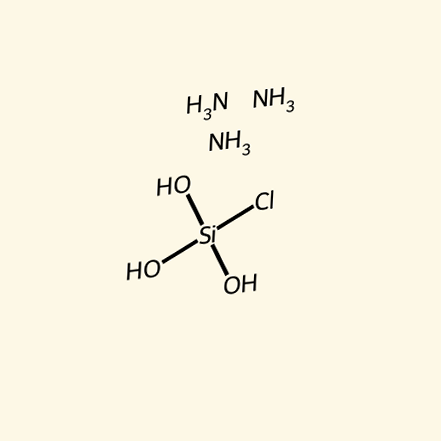 N.N.N.O[Si](O)(O)Cl